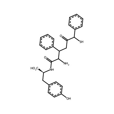 NC(C(=O)N[C@@H](Cc1ccc(O)cc1)C(=O)O)C(CC(=O)C(S)c1ccccc1)c1ccccc1